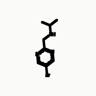 CC(C)NCc1ncc(Br)cn1